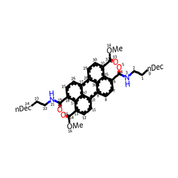 CCCCCCCCCCCCNC(=O)c1ccc2c3ccc(C(=O)OC)c4c(C(=O)NCCCCCCCCCCCC)ccc(c5ccc(C(=O)OC)c1c25)c43